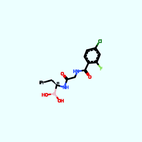 CC(C)C[C@H](NC(=O)CNC(=O)c1ccc(Cl)cc1F)B(O)O